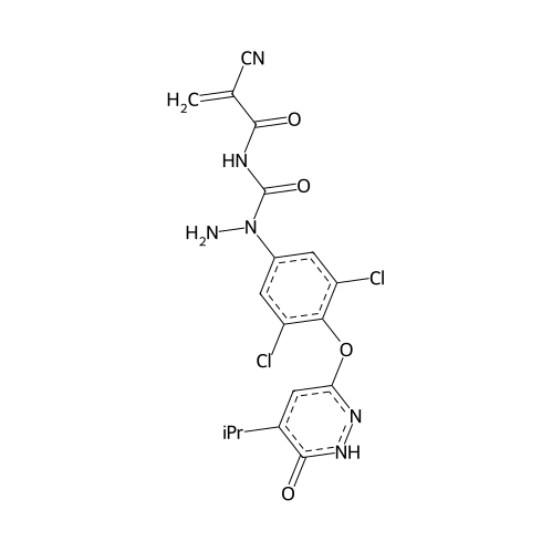 C=C(C#N)C(=O)NC(=O)N(N)c1cc(Cl)c(Oc2cc(C(C)C)c(=O)[nH]n2)c(Cl)c1